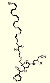 CC/C=C\C/C=C\C/C=C\C/C=C\C/C=C\C/C=C\CCC(=O)NCCSSC(C)(C)[C@@H](CC(=O)NC[C@@H](O)CO)NC(=O)c1cccnc1